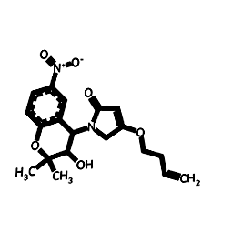 C=CCCOC1=CC(=O)N(C2c3cc([N+](=O)[O-])ccc3OC(C)(C)C2O)C1